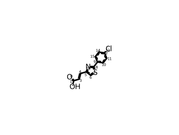 O=C(O)/C=C/c1csc(-c2ccc(Cl)cc2)n1